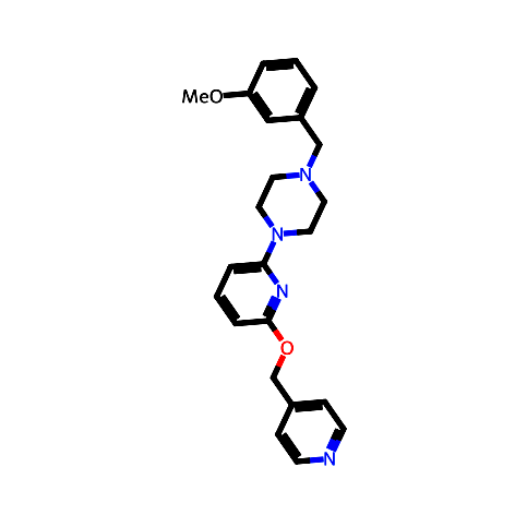 COc1cccc(CN2CCN(c3cccc(OCc4ccncc4)n3)CC2)c1